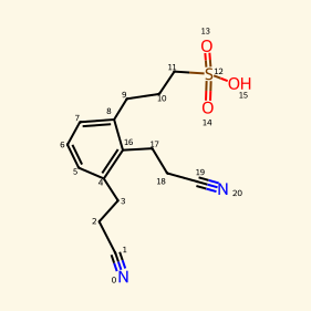 N#CCCc1cccc(CCCS(=O)(=O)O)c1CCC#N